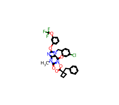 Cn1c(=O)n(OC(=O)C2(Cc3ccccc3)CCC2)c(=O)c2c1nc(Oc1cccc(OC(F)(F)F)c1)n2Cc1ccc(Cl)cc1